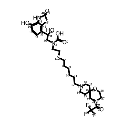 O=C(O)N(CCSCCCCCCN1CCC2(CC1)CN(C(=O)C(F)(F)F)CCO2)CC(O)c1ccc(O)c2[nH]c(=O)sc12